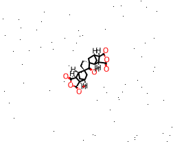 O=C1OC(=O)[C@@H]2[C@H]1[C@@H]1C[C@H]2[C@@]2(CC[C@@]3(C[C@@H]4C[C@H]3[C@H]3C(=O)OC(=O)[C@@H]43)C2=O)C1